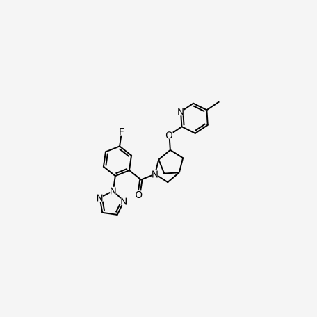 Cc1ccc(OC2CC3CC2N(C(=O)c2cc(F)ccc2-n2nccn2)C3)nc1